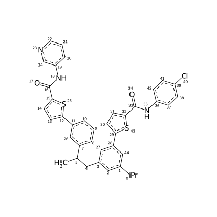 CC(C)c1cc(CC(C)c2cccc(-c3ccc(C(=O)Nc4cccnc4)s3)c2)cc(-c2ccc(C(=O)Nc3ccc(Cl)cc3)s2)c1